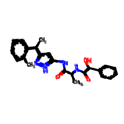 Cc1ccccc1C(C)c1cc(NC(=O)C(C)NC(=O)C(O)c2ccccc2)[nH]n1